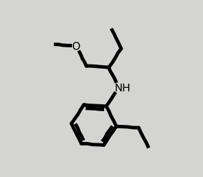 CCc1ccccc1NC(CC)COC